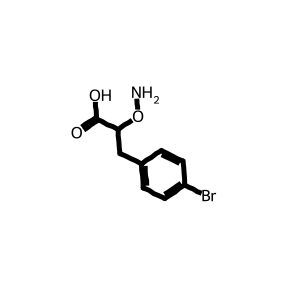 NOC(Cc1ccc(Br)cc1)C(=O)O